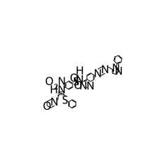 O=[N+]([O-])c1cc(S(=O)(=O)Nc2ncnc3cc(N4CCN(Cc5ccnn5-c5ccccc5)CC4)ccc23)ccc1N[C@H](CCN1CCOCC1)CSc1ccccc1